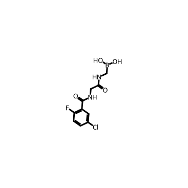 O=C(CNC(=O)c1cc(Cl)ccc1F)NCB(O)O